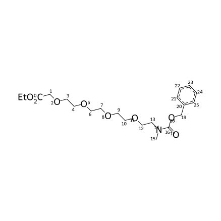 CCOC(=O)COCCOCCOCCOCCN(C)C(=O)OCc1ccccc1